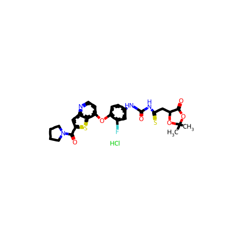 CC1(C)OC(=O)C(CC(=S)NC(=O)Nc2ccc(Oc3ccnc4cc(C(=O)N5CCCC5)sc34)c(F)c2)O1.Cl